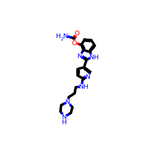 NC(=O)Oc1cccc2[nH]c(-c3ccc(NCCCN4CCNCC4)nc3)nc12